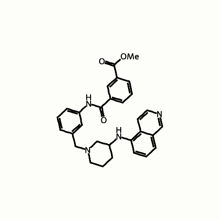 COC(=O)c1cccc(C(=O)Nc2cccc(CN3CCCC(Nc4cccc5cnccc45)C3)c2)c1